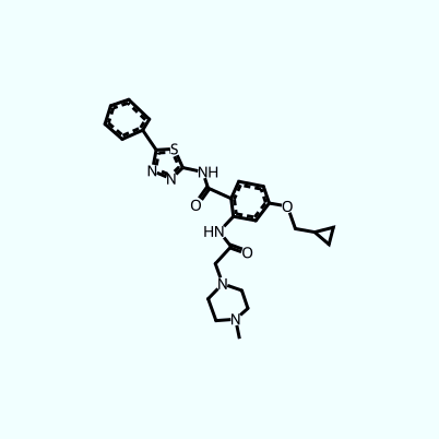 CN1CCN(CC(=O)Nc2cc(OCC3CC3)ccc2C(=O)Nc2nnc(-c3ccccc3)s2)CC1